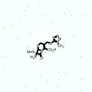 CS[C@@]1(N)C(=O)N2C(C(=O)O)=C(CSc3nnnn3C)CSC21